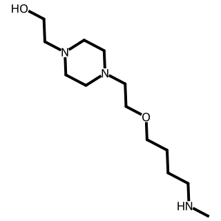 CNCCCCOCCN1CCN(CCO)CC1